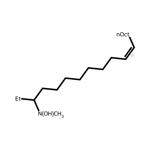 CCCCCCCC/C=C\CCCCCCCC(CC)N(C)O